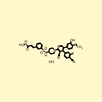 COc1ccc(-c2cnc(N3CCC(NS(=O)(=O)c4cccc(/C=C/C(=O)NO)c4)CC3)c(C#N)c2-c2ccc(C#N)c(F)c2)cc1O.Cl